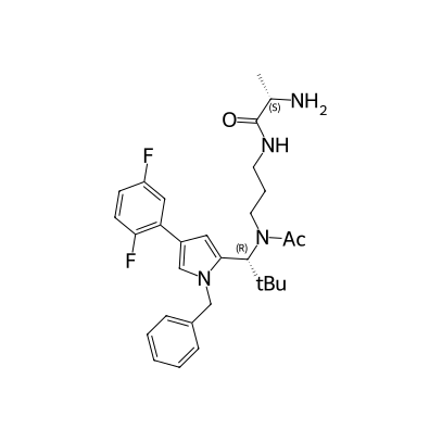 CC(=O)N(CCCNC(=O)[C@H](C)N)[C@@H](c1cc(-c2cc(F)ccc2F)cn1Cc1ccccc1)C(C)(C)C